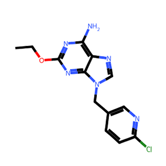 CCOc1nc(N)c2ncn(Cc3ccc(Cl)nc3)c2n1